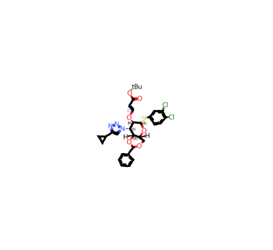 CC(C)(C)OC(=O)/C=C/O[C@@H]1[C@@H](n2cc(C3CC3)nn2)[C@H]2OC(c3ccccc3)OC[C@H]2O[C@@H]1Sc1ccc(Cl)c(Cl)c1